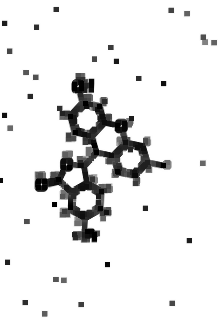 Cc1ccc2c(c1)Oc1cc(O)ccc1C2C1OC(=O)c2cc(C(C)C)ccc21